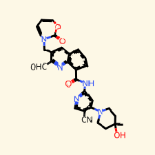 CC1(O)CCN(c2cc(NC(=O)c3cccc4cc(CN5C=CC=COC5=O)c(C=O)nc34)ncc2C#N)CC1